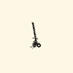 NS(=O)(=O)c1c(F)c(F)c(S(=O)(=O)CCC(=O)NCCOCCOCCOCCOCCC=O)c(NC2CCCCCCC2)c1F